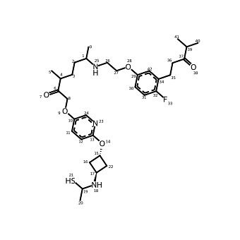 CC(CCC(C)C(=O)COc1ccc(O[C@H]2C[C@H](NC(C)S)C2)nc1)NCCOc1ccc(F)c(CCC(=O)C(C)C)c1